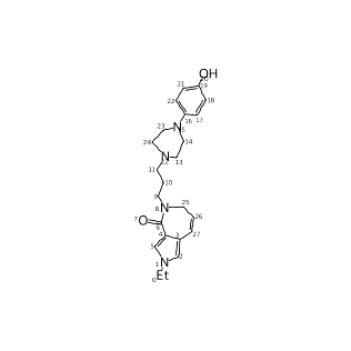 CCn1cc2c(c1)C(=O)N(CCCN1CCN(c3ccc(O)cc3)CC1)CC=C2